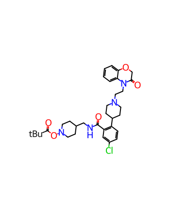 CC(C)(C)C(=O)ON1CCC(CNC(=O)c2cc(Cl)ccc2C2CCN(CCN3C(=O)COc4ccccc43)CC2)CC1